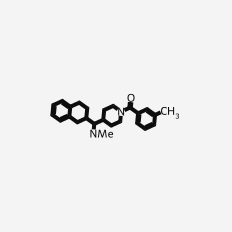 CNC(C1CCN(C(=O)c2cccc(C)c2)CC1)C1CCc2ccccc2C1